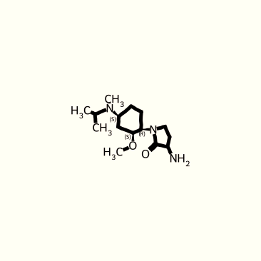 CO[C@H]1C[C@@H](N(C)C(C)C)CC[C@H]1N1CCC(N)C1=O